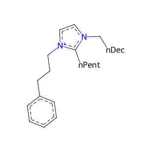 CCCCCCCCCCCn1cc[n+](CCCc2ccccc2)c1CCCCC